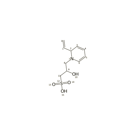 C=CC1C=CC=CN1CC(O)CS(=O)(=O)O